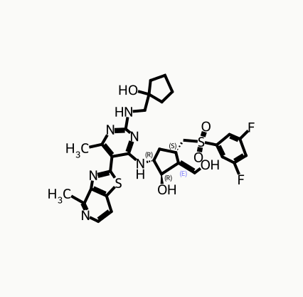 Cc1nc(NCC2(O)CCCC2)nc(N[C@@H]2C[C@H](CS(=O)(=O)c3cc(F)cc(F)c3)/C(=C\O)[C@H]2O)c1-c1nc2c(C)nccc2s1